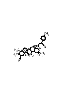 C=C1C(C#N)=CC2(C)C3=CC(=O)C4C5CC(C)(C)CCC5(NC(=O)/C=C(\C#N)c5ccc(C)cc5)CC[C@@]4(C)C3(C)CCC2C1C